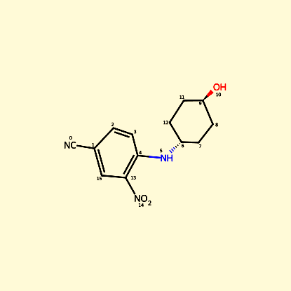 N#Cc1ccc(N[C@H]2CC[C@H](O)CC2)c([N+](=O)[O-])c1